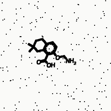 CC1(C)CCc2ccc(OCN)c(C(=O)O)c2C1